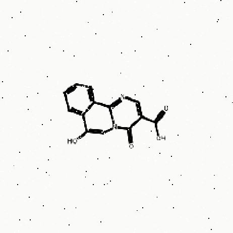 O=C(O)c1cnc2c3ccccc3c(O)cn2c1=O